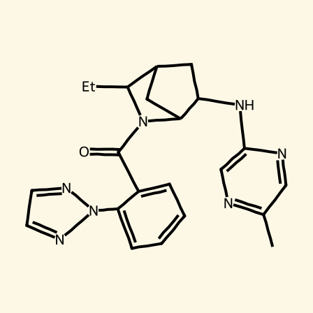 CCC1C2CC(Nc3cnc(C)cn3)C(C2)N1C(=O)c1ccccc1-n1nccn1